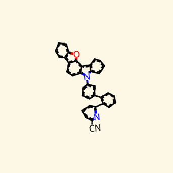 N#Cc1cccc(-c2ccccc2-c2cccc(-n3c4ccccc4c4c5oc6ccccc6c5ccc43)c2)n1